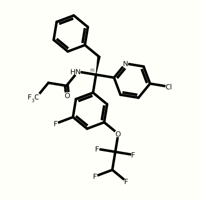 O=C(CC(F)(F)F)N[C@@](Cc1ccccc1)(c1cc(F)cc(OC(F)(F)C(F)F)c1)c1ccc(Cl)cn1